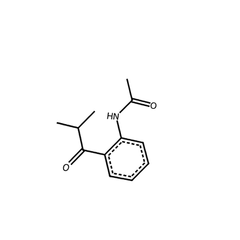 CC(=O)Nc1ccccc1C(=O)C(C)C